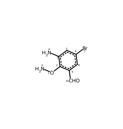 NOc1c(N)cc(Br)cc1C=O